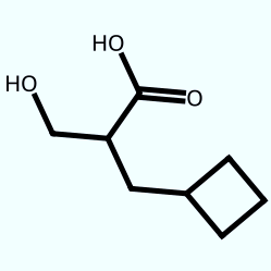 O=C(O)C(CO)CC1CCC1